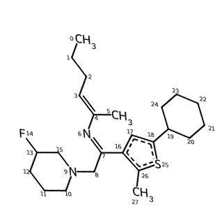 CCC/C=C(C)/N=C(/CN1CCCC(F)C1)c1cc(C2CCCCC2)sc1C